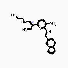 N=C/C(=C\NCCO)c1ccc(N)c(NCc2ccc3nccn3c2)n1